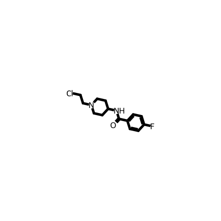 O=C(NC1CCN(CCCl)CC1)c1ccc(F)cc1